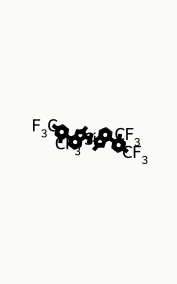 CC1=Cc2c(-c3ccc(C(F)(F)F)cc3C(F)(F)F)cccc2C1[Si](C)(C)C1C(C)=Cc2c(-c3ccc(C(F)(F)F)cc3C(F)(F)F)cccc21